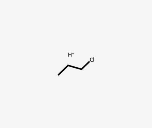 C[CH]CCl.[H+]